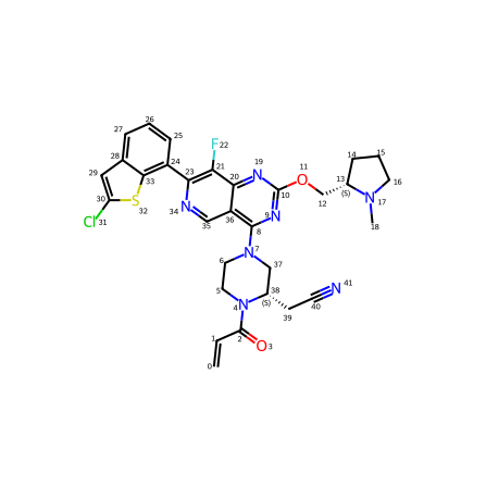 C=CC(=O)N1CCN(c2nc(OC[C@@H]3CCCN3C)nc3c(F)c(-c4cccc5cc(Cl)sc45)ncc23)C[C@@H]1CC#N